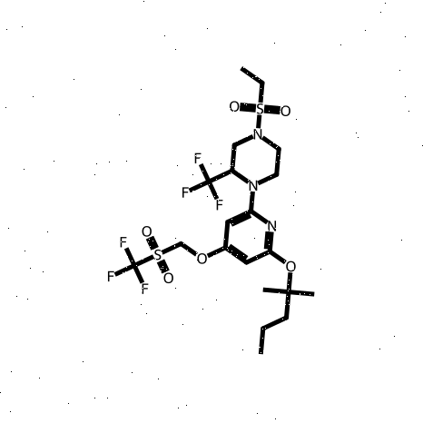 CCCC(C)(C)Oc1cc(OCS(=O)(=O)C(F)(F)F)cc(N2CCN(S(=O)(=O)CC)CC2C(F)(F)F)n1